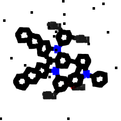 CC(C)(C)c1cc(N2c3cc4cc5ccccc5cc4cc3B3c4cc5cc6ccccc6cc5cc4N(c4cc(C(C)(C)C)cc(C(C)(C)C)c4)c4cc(-c5cccc6c5c5ccccc5n6-c5ccccc5)cc2c43)cc(C(C)(C)C)c1